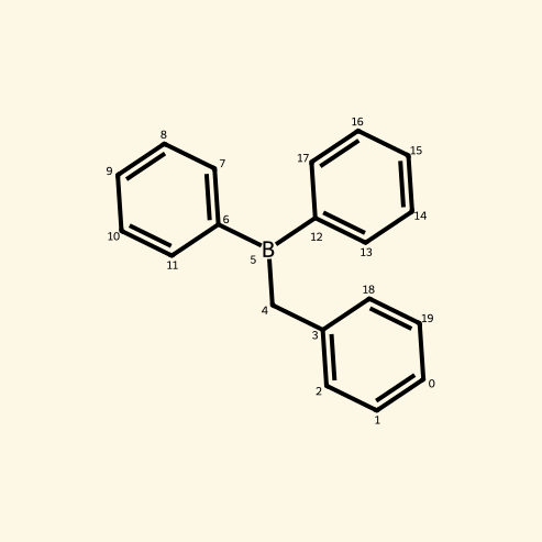 c1ccc(CB(c2ccccc2)c2ccccc2)cc1